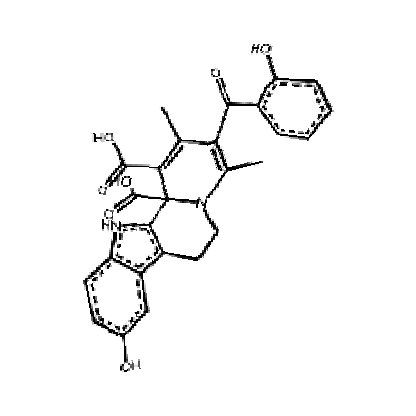 CC1=C(C(=O)O)C2(C(=O)O)c3[nH]c4ccc(O)cc4c3CCN2C(C)=C1C(=O)c1ccccc1O